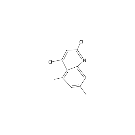 Cc1cc(C)c2c(Cl)cc(Cl)nc2c1